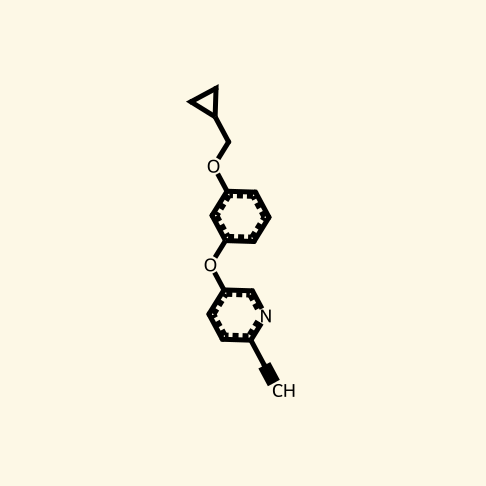 C#Cc1ccc(Oc2cccc(OCC3CC3)c2)cn1